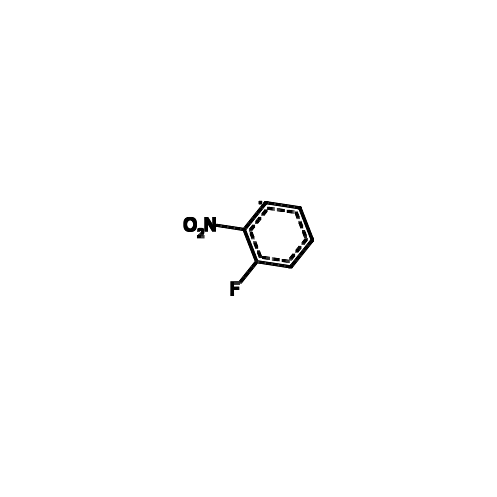 O=[N+]([O-])c1[c]cccc1F